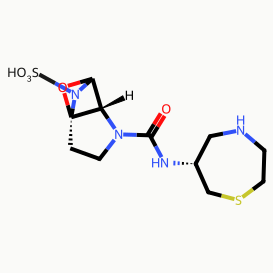 O=C(N[C@@H]1CNCCSC1)N1CC[C@@]23OC([C@H]12)N3S(=O)(=O)O